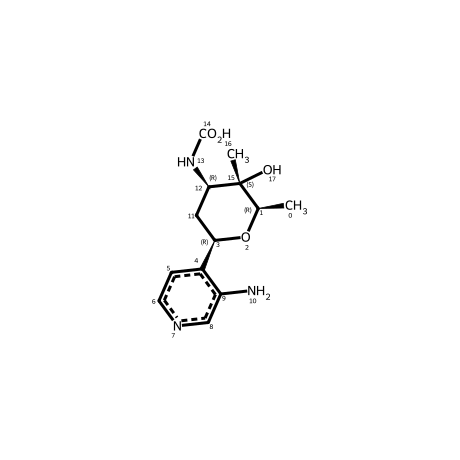 C[C@H]1O[C@@H](c2ccncc2N)C[C@@H](NC(=O)O)[C@]1(C)O